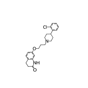 O=C1CCc2ccc(OCCCN3CCC(c4ccccc4Cl)CC3)cc2N1